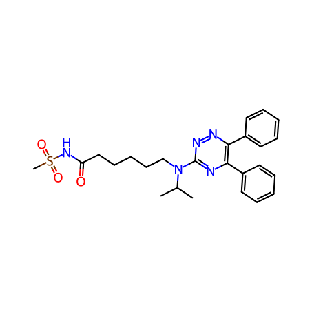 CC(C)N(CCCCCC(=O)NS(C)(=O)=O)c1nnc(-c2ccccc2)c(-c2ccccc2)n1